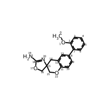 COc1ccccc1-c1ccc2c(c1)CC1(COC(N)=N1)CO2